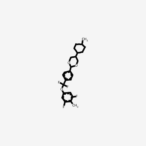 Cc1c(F)cc(OC(F)(F)c2ccc(C3OCC(C4CCC(C)CC4)CO3)cc2)cc1F